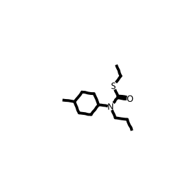 CCCN(C(=O)SCC)C1CCC(C)CC1